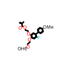 C=C(C)C(=O)OCCOc1cc(-c2ccc(OC)cc2)c(F)cc1OCCOC=O